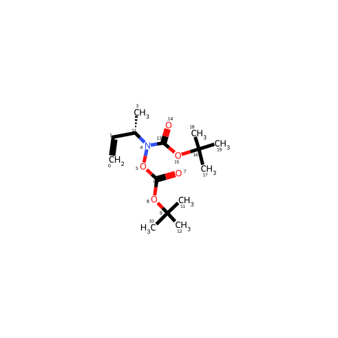 C=C[C@H](C)N(OC(=O)OC(C)(C)C)C(=O)OC(C)(C)C